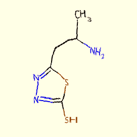 CC(N)Cc1nnc(S)s1